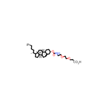 CC(C)CCC[C@@H](C)C1CC[C@H]2[C@@H]3CC=C4C[C@@H](OC(=O)NCCOCCOCCC(=O)O)CC[C@]4(C)[C@H]3CC[C@]12C